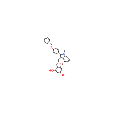 Cn1c(-c2ccc(OCc3ccccc3)cc2)c(C=C2Cc3c(O)cc(O)cc3O2)c2ccccc21